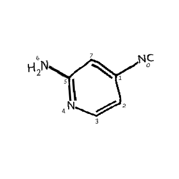 [C-]#[N+]c1ccnc(N)c1